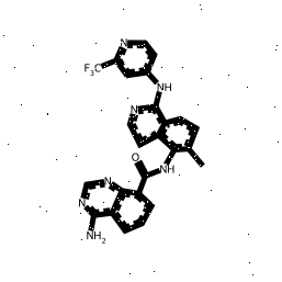 Cc1ccc2c(Nc3ccnc(C(F)(F)F)c3)nccc2c1NC(=O)c1cccc2c(N)ncnc12